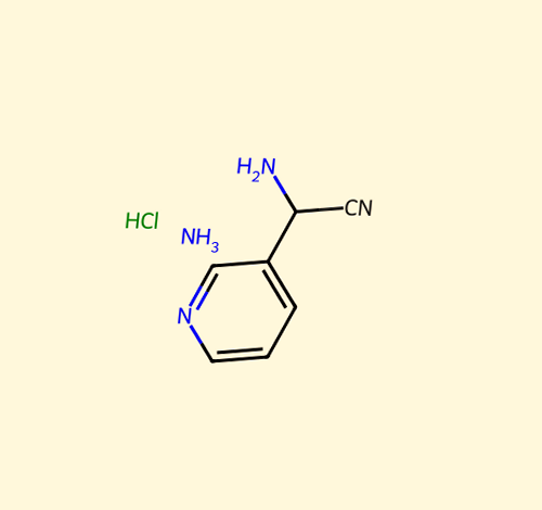 Cl.N.N#CC(N)c1cccnc1